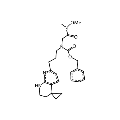 CON(C)C(=O)CN(CCCc1ccc2c(n1)NCCC21CC1)C(=O)OCc1ccccc1